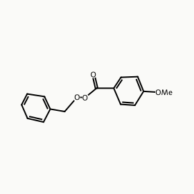 COc1ccc(C(=O)OOCc2ccccc2)cc1